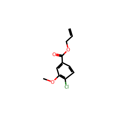 C=CCOC(=O)c1ccc(Cl)c(OC)c1